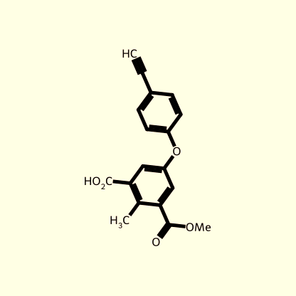 C#Cc1ccc(Oc2cc(C(=O)O)c(C)c(C(=O)OC)c2)cc1